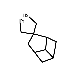 CC(C)CC1(CS)CC2CC3CC1C32